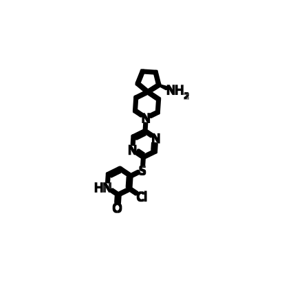 N[C@@H]1CCCC12CCN(c1cnc(Sc3cc[nH]c(=O)c3Cl)cn1)CC2